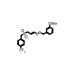 COc1cccc(CSSC=CCS(=O)(=O)Cc2ccc(C(F)(F)F)cc2)c1